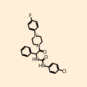 O=C(Nc1ccc(Cl)cc1)NC(C(=O)N1CCN(c2ccc(F)cc2)CC1)c1ccccc1